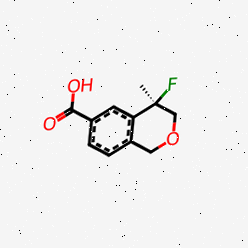 C[C@]1(F)COCc2ccc(C(=O)O)cc21